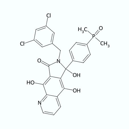 CP(C)(=O)c1ccc(C2(O)c3c(c(O)c4ncccc4c3O)C(=O)N2Cc2cc(Cl)cc(Cl)c2)cc1